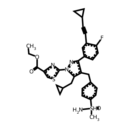 CCOC(=O)c1csc(-n2nc(-c3ccc(F)c(C#CC4CC4)c3)c(Cc3ccc([SH](C)(N)=O)cc3)c2CC2CC2)n1